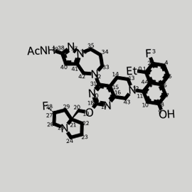 CCc1c(F)ccc2cc(O)cc(N3CCc4c(nc(OC[C@@]56CCCN5C[C@H](F)C6)nc4N4CCCn5nc(NC(C)=O)cc5C4)C3)c12